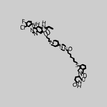 C=CC(=O)Nc1cc2c(Nc3ccc(F)c(Cl)c3)ncnc2cc1OCCCN1CCC(N2CCN(C(=O)CCCCCCSc3cccc4c3CN(C3CCC(=O)NC3=O)C4=O)CC2)CC1